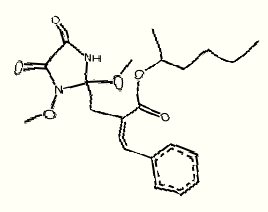 CCCCC(C)OC(=O)C(=Cc1ccccc1)CC1(OC)NC(=O)C(=O)N1OC